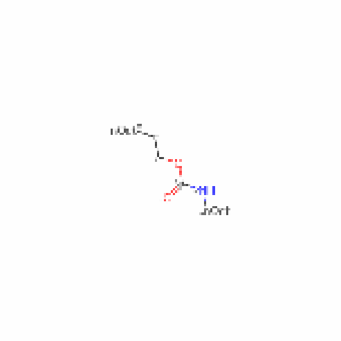 CCCCCCCCCCOC(=O)NCCCCCCCC